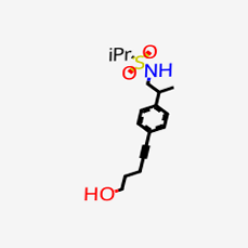 CC(CNS(=O)(=O)C(C)C)c1ccc(C#CCCCO)cc1